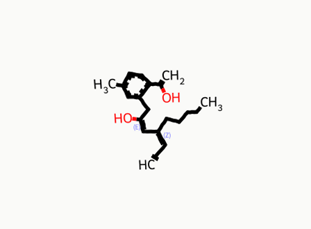 C#C/C=C(\C=C(\O)Cc1cc(C)ccc1C(=C)O)CCCCC